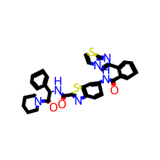 O=C(N[C@H](C(=O)N1CCCCC1)c1ccccc1)c1nc2ccc(NC(=O)c3ccccc3-c3cn4ccsc4n3)cc2s1